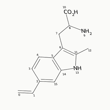 C=Cc1ccc2c(CC(N)C(=O)O)c(C)[nH]c2c1